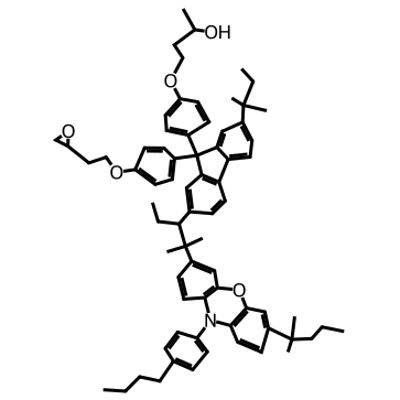 CCCCc1ccc(N2c3ccc(C(C)(C)CCC)cc3Oc3cc(C(C)(C)C(CC)c4ccc5c(c4)C(c4ccc(OCCC(C)O)cc4)(c4ccc(OCCC6CO6)cc4)c4cc(C(C)(C)CC)ccc4-5)ccc32)cc1